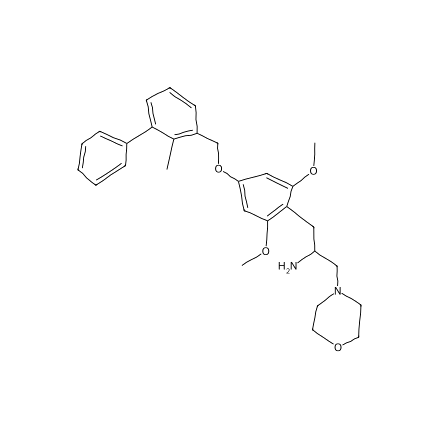 COc1cc(OCc2cccc(-c3ccccc3)c2C)cc(OC)c1CC(N)CN1CCOCC1